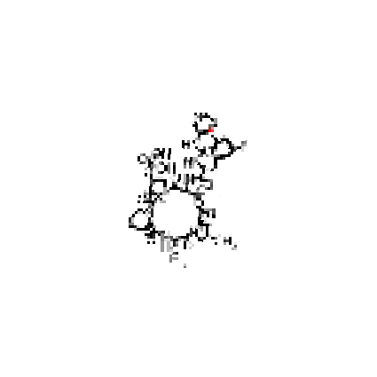 C[C@@H]1C[C@H]2C(=O)O[C@@H](C)[C@H](NC(=O)[C@H](Cc3cc(F)cc(F)c3)NC(=O)Nc3cncnc3)C(=O)N3C[C@H](OP(=O)(O)O)C[C@H]3C(=O)N3CCCC[C@H]3C(=O)N[C@@H](C)C(=O)N2C1